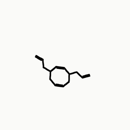 C=CCC1C=CC(CC=C)CC=CC1